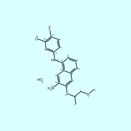 COCC(C)Oc1cc2ncnc(Nc3ccc(F)c(Cl)c3)c2cc1N.Cl